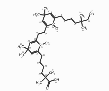 CC1(C)C=C(CCCCC(C)(C)CO)[S+]([O-])C(CCC2=CC(C)(C)C=C(CCCCC(C)(C)C(=O)O)[S+]2[O-])=C1